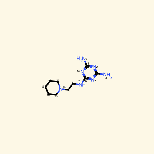 Nc1nc(N)nc(NCCN2CCCCC2)n1